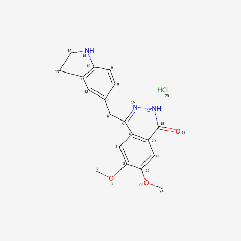 COc1cc2c(Cc3ccc4c(c3)CCN4)n[nH]c(=O)c2cc1OC.Cl